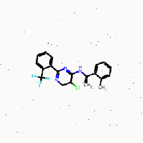 C=C(NC1=NC(c2ccccc2C(F)(F)F)=NCC1Cl)c1ccccc1C